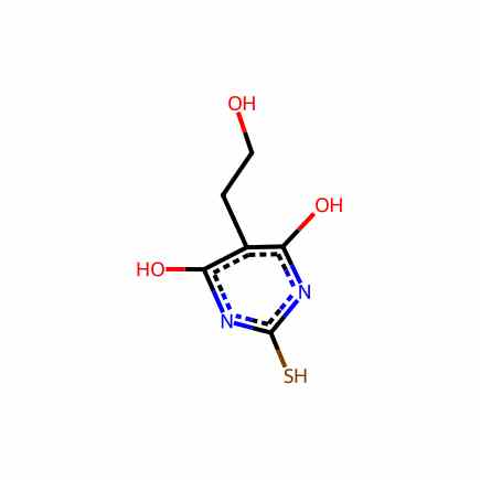 OCCc1c(O)nc(S)nc1O